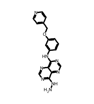 NNc1ncnc2c(Nc3cccc(OCc4ccncc4)c3)ncnc12